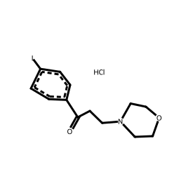 Cl.O=C(CCN1CCOCC1)c1ccc(I)cc1